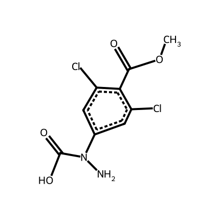 COC(=O)c1c(Cl)cc(N(N)C(=O)O)cc1Cl